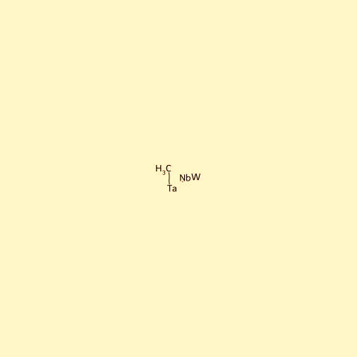 [CH3][Ta].[Nb].[W]